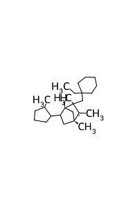 CCC1(CC2(C)[C](C)[C@]3(C)CC(C4CCCC4C)[C@H]2C3)CCCCC1